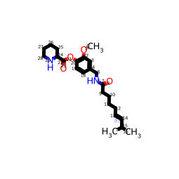 COc1cc(CNC(=O)CCCC/C=C/C(C)C)ccc1OC(=O)C1CCCCN1